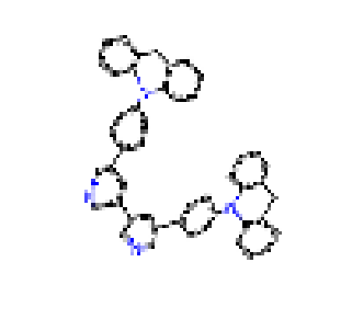 c1ccc2c(c1)Cc1ccccc1N2c1ccc(-c2cncc(-c3cncc(-c4ccc(N5c6ccccc6Cc6ccccc65)cc4)c3)c2)cc1